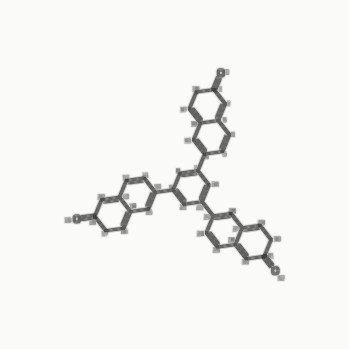 O=C1C=c2ccc(-c3cc(-c4ccc5c(c4)=CCC(=O)C=5)cc(-c4ccc5c(c4)=CCC(=O)C=5)c3)cc2=CC1